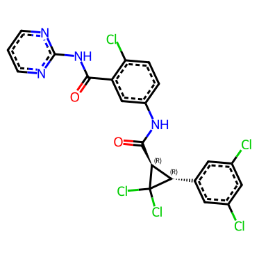 O=C(Nc1ncccn1)c1cc(NC(=O)[C@H]2[C@H](c3cc(Cl)cc(Cl)c3)C2(Cl)Cl)ccc1Cl